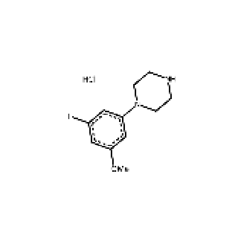 COc1cc(F)cc(N2CCNCC2)c1.Cl